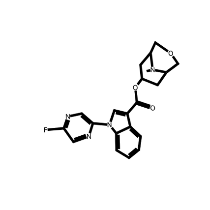 CN1C2COCC1CC(OC(=O)c1cn(-c3cnc(F)cn3)c3ccccc13)C2